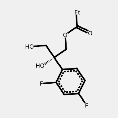 CCC(=O)OC[C@](O)(CO)c1ccc(F)cc1F